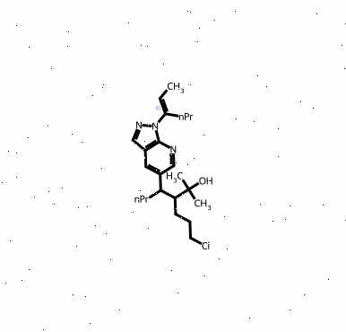 C/C=C(\CCC)n1ncc2cc(C(CCC)C(CCCCl)C(C)(C)O)cnc21